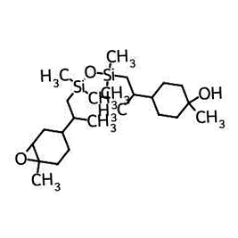 CC(C[Si](C)(C)O[Si](C)(C)CC(C)C1CCC2(C)OC2C1)C1CCC(C)(O)CC1